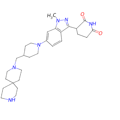 Cn1nc(C2CCC(=O)NC2=O)c2ccc(N3CCC(CN4CCC5(CCNCC5)CC4)CC3)cc21